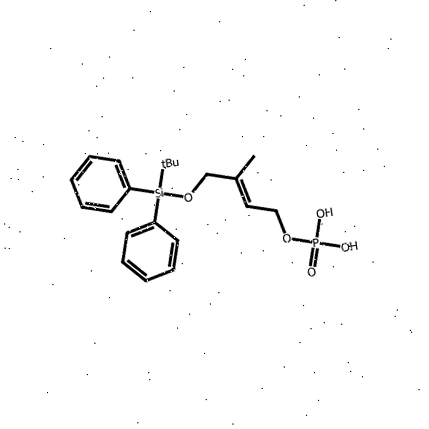 CC(=CCOP(=O)(O)O)CO[Si](c1ccccc1)(c1ccccc1)C(C)(C)C